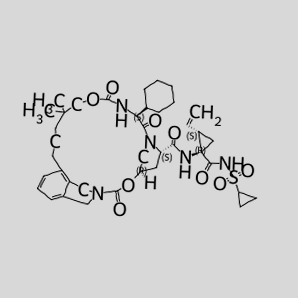 C=C[C@@H]1C[C@]1(NC(=O)[C@@H]1C[C@@H]2CN1C(=O)[C@H](C1CCCCC1)NC(=O)OCC(C)(C)CCCc1cccc3c1CN(C3)C(=O)O2)C(=O)NS(=O)(=O)C1CC1